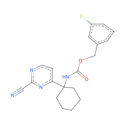 N#Cc1nccc(C2(NC(=O)OCc3cccc(F)c3)CCCCC2)n1